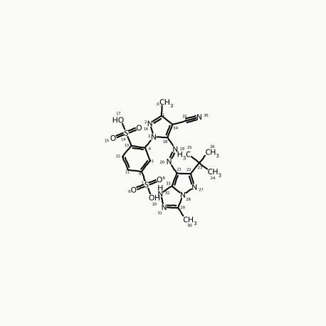 Cc1nn(-c2cc(S(=O)(=O)O)ccc2S(=O)(=O)O)c(N=Nc2c(C(C)(C)C)nn3c(C)n[nH]c23)c1C#N